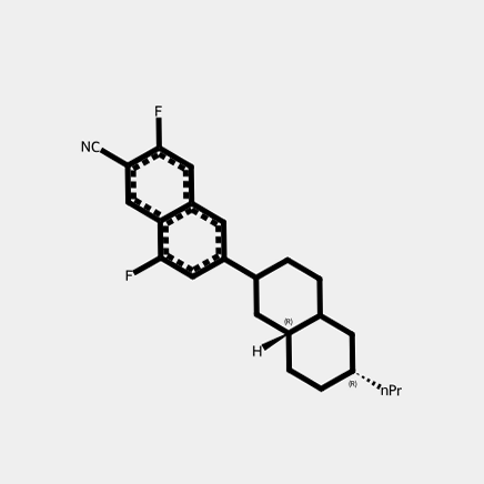 CCC[C@@H]1CC[C@@H]2CC(c3cc(F)c4cc(C#N)c(F)cc4c3)CCC2C1